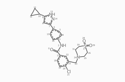 O=C(Nc1ccc(-c2cc(C3CC3)[nH]n2)cc1)c1ccc(Cl)c(CN2CCS(=O)(=O)CC2)c1